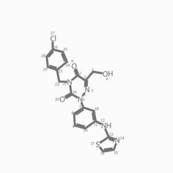 O=c1c(CO)nn(-c2cccc(Nc3nccs3)c2)c(=O)n1Cc1ccc(Cl)cc1